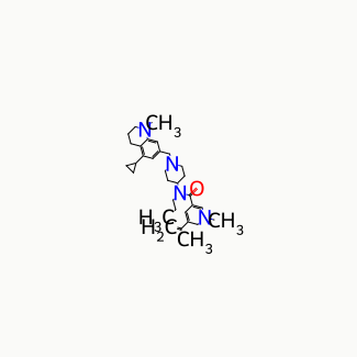 C=C(C)C1=CC(C(=O)N(CCC)C2CCN(Cc3cc(C4CC4)c4c(c3)N(C)CCC4)CC2)=CN(C)C1